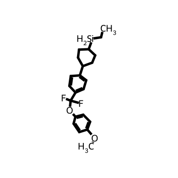 CC[SiH2]C1CCC(c2ccc(C(F)(F)Oc3ccc(OC)cc3)cc2)CC1